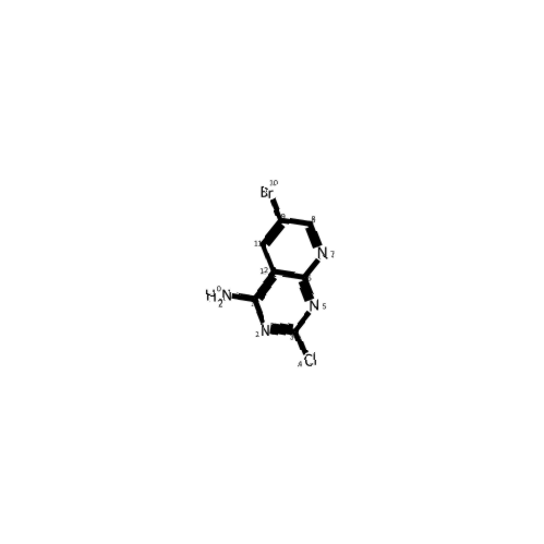 Nc1nc(Cl)nc2ncc(Br)cc12